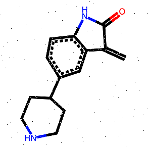 C=C1C(=O)Nc2ccc(C3CCNCC3)cc21